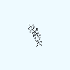 CC(C)(C)C(C)(C)OC(F)(F)C(F)(F)C(F)(F)C(C)(C)C(C)(C)C